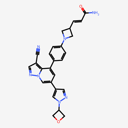 N#Cc1cnn2cc(-c3cnn(C4COC4)c3)cc(-c3ccc(N4CC(C=CC(N)=O)C4)cc3)c12